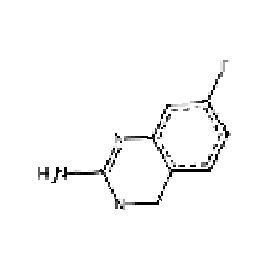 NC1=Nc2cc(F)ccc2C[N]1